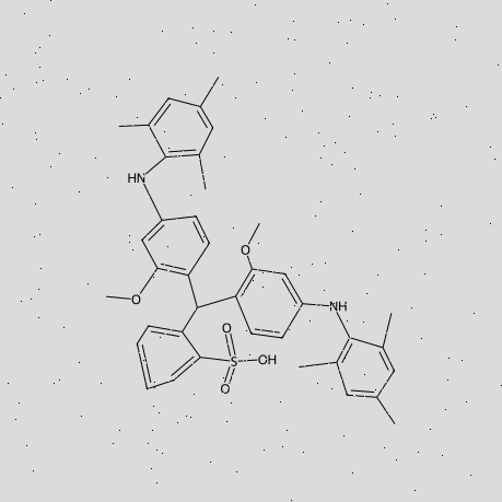 COc1cc(Nc2c(C)cc(C)cc2C)ccc1C(c1ccc(Nc2c(C)cc(C)cc2C)cc1OC)c1ccccc1S(=O)(=O)O